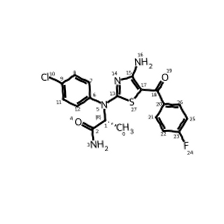 C[C@H](C(N)=O)N(c1ccc(Cl)cc1)c1nc(N)c(C(=O)c2ccc(F)cc2)s1